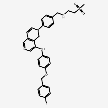 CS(=O)(=O)CCNCc1ccc(N2C=Cc3cncc(Nc4ccc(OCc5ccc(F)cc5)cc4)c3C2)cc1